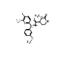 C[C@@H]1C(=O)NCCN1C(=O)N[C@@H](c1cccc(OC(F)(F)F)c1)c1ccc(F)c(C(F)(F)F)n1